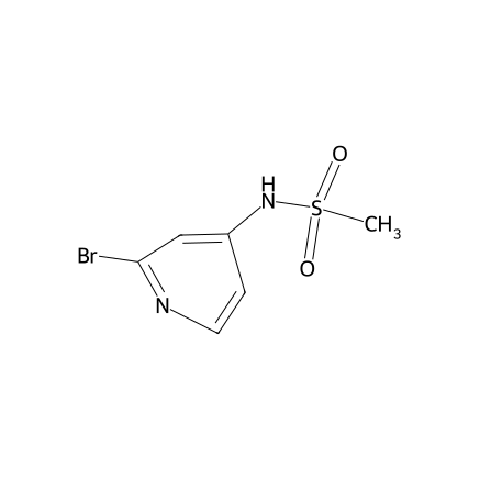 CS(=O)(=O)Nc1ccnc(Br)c1